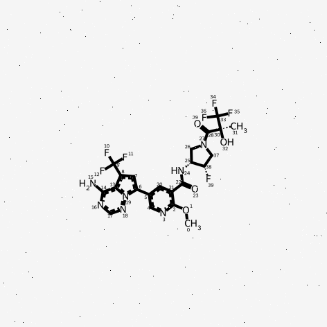 COc1ncc(-c2cc(C(F)(F)F)c3c(N)ncnn23)cc1C(=O)N[C@@H]1CN(C(=O)[C@](C)(O)C(F)(F)F)C[C@@H]1F